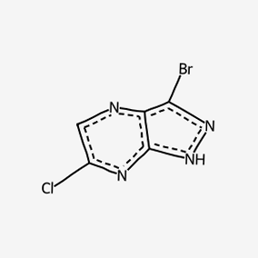 Clc1cnc2c(Br)n[nH]c2n1